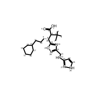 CC(C)(C)C(C(=O)O)[C@@H](CCCC1CCCCC1)c1nc(CNc2cc[nH]n2)no1